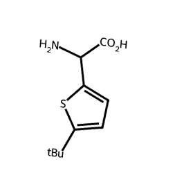 CC(C)(C)c1ccc(C(N)C(=O)O)s1